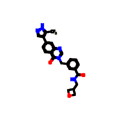 O=C(NCC1COC1)c1cccc(Cn2cnc3cc(-c4cn[nH]c4C(F)(F)F)ccc3c2=O)c1